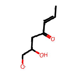 CC=CC(=O)CC(O)C[O]